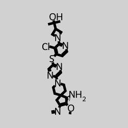 C=NC1=C(OC)[C@@H](N)C2(CCN(c3cnc(Sc4ccnc(N5CC(C(C)(C)O)C5)c4Cl)cn3)CC2)C1